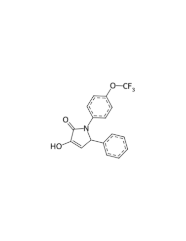 O=C1C(O)=CC(c2ccccc2)N1c1ccc(OC(F)(F)F)cc1